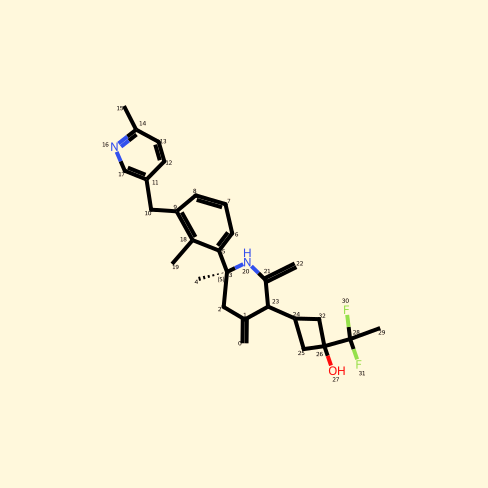 C=C1C[C@@](C)(c2cccc(Cc3ccc(C)nc3)c2C)NC(=C)C1C1CC(O)(C(C)(F)F)C1